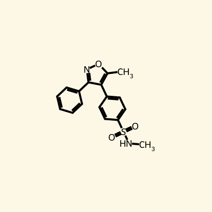 CNS(=O)(=O)c1ccc(-c2c(-c3ccccc3)noc2C)cc1